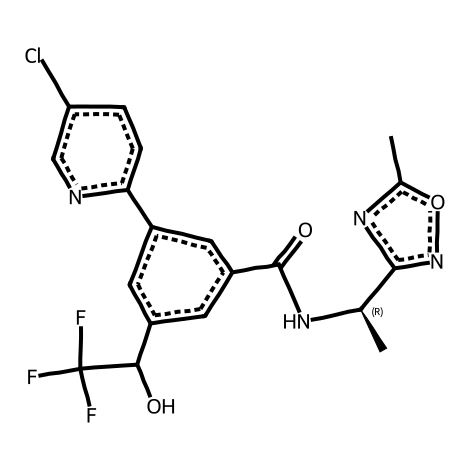 Cc1nc([C@@H](C)NC(=O)c2cc(-c3ccc(Cl)cn3)cc(C(O)C(F)(F)F)c2)no1